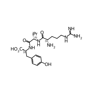 CC(C)[C@H](NC(=O)[C@@H](N)CCCNC(=N)N)C(=O)N[C@@H](Cc1ccc(O)cc1)C(=O)O